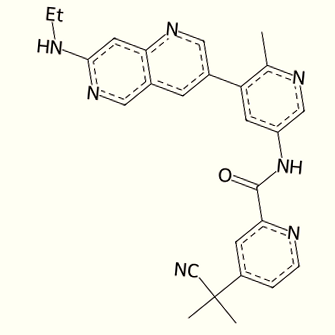 CCNc1cc2ncc(-c3cc(NC(=O)c4cc(C(C)(C)C#N)ccn4)cnc3C)cc2cn1